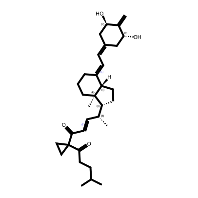 C=C1[C@H](O)CC(=C/C=C2\CCC[C@]3(C)[C@@H]([C@H](C)/C=C/C(=O)C4(C(=O)CCC(C)C)CC4)CC[C@@H]23)C[C@H]1O